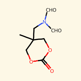 CC1(CN(C=O)C=O)COC(=O)OC1